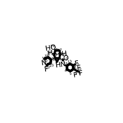 O=C(Nc1ccc(C(F)(F)F)c(F)c1)[C@]12C[C@@]1(c1ccnc(F)c1)[C@H]1O[C@@H]2C[C@@H]1O